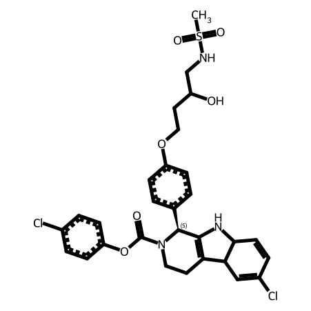 CS(=O)(=O)NCC(O)CCOc1ccc([C@H]2C3=C(CCN2C(=O)Oc2ccc(Cl)cc2)C2C=C(Cl)C=CC2N3)cc1